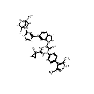 Cc1n[nH]c(C)c1-c1ccc(NC(=O)[C@@H](NC(=O)C2(F)CC2)[C@@H]2CCc3ccc(-c4cc(N5C[C@@H]6C[C@H]5CO6)ncn4)cc32)cc1